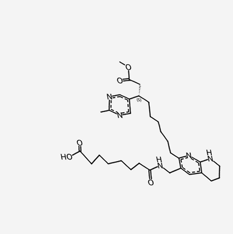 COC(=O)C[C@H](CCCCCCc1nc2c(cc1CNC(=O)CCCCCCC(=O)O)CCCN2)c1cnc(C)nc1